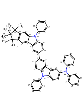 CC1(C)c2cc3c4cc(-c5ccc6c(c5)c5cc(N(c7ccccc7)c7ccccc7)ccc5n6-c5ccccc5)ccc4n(C4C=CC=CC4)c3cc2C(C)(C)C1(C)C